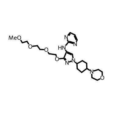 COCCOCCOCCOc1nn(C2CCC(N3CCOCC3)CC2)cc1Nc1ncccn1